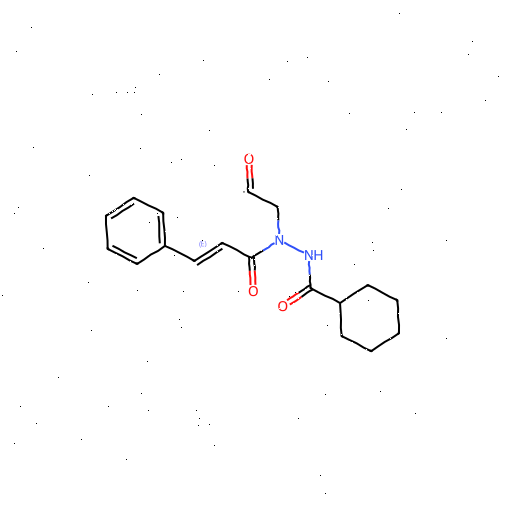 O=[C]CN(NC(=O)C1CCCCC1)C(=O)/C=C/c1ccccc1